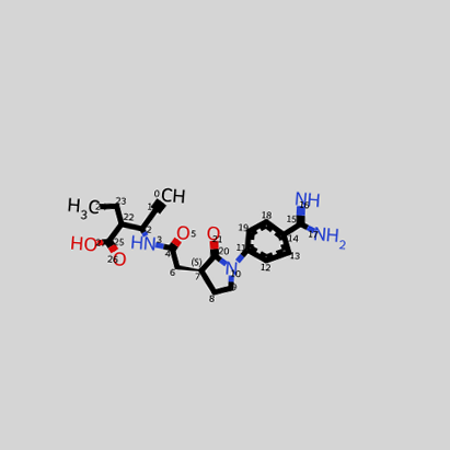 C#CC(NC(=O)C[C@@H]1CCN(c2ccc(C(=N)N)cc2)C1=O)C(CC)C(=O)O